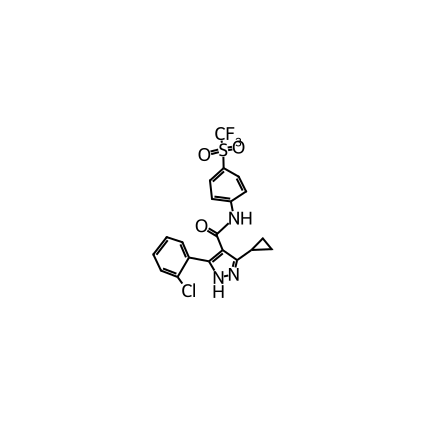 O=C(Nc1ccc(S(=O)(=O)C(F)(F)F)cc1)c1c(C2CC2)n[nH]c1-c1ccccc1Cl